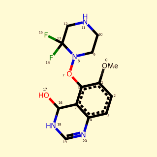 COc1ccc2c(c1ON1CCNCC1(F)F)C(O)NC=N2